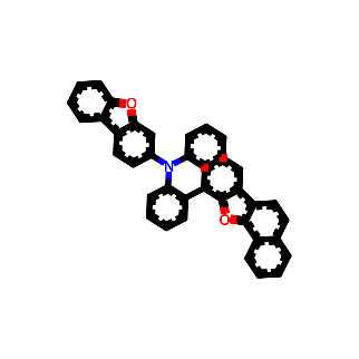 c1ccc(N(c2ccc3c(c2)oc2ccccc23)c2ccccc2-c2cccc3c2oc2c4ccccc4ccc32)cc1